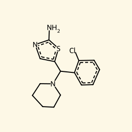 Nc1ncc(C(c2ccccc2Cl)N2CCCCC2)s1